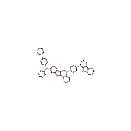 c1ccc(-c2ccc(N(c3ccccc3)c3ccc4c(c3)oc3c5ccccc5c(-c5ccc(-c6cccc7c6oc6ccccc67)cc5)cc43)cc2)cc1